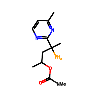 CNC(=O)OC(C)CC(C)(P)c1nccc(C)n1